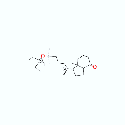 CC[Si](CC)(CC)OC(C)(C)CCC[C@H](C)C1CCC2C(=O)CCCC21C